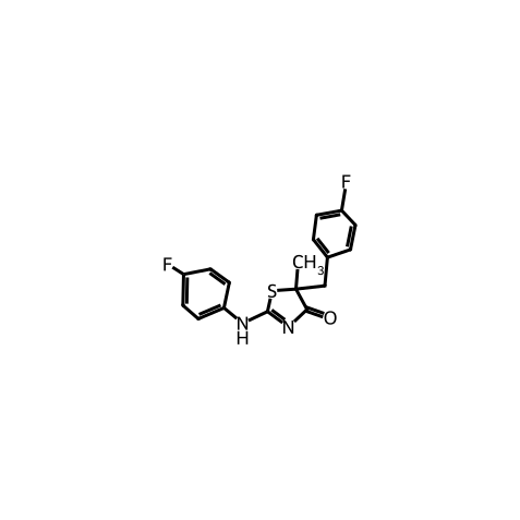 CC1(Cc2ccc(F)cc2)SC(Nc2ccc(F)cc2)=NC1=O